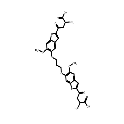 COc1cc2sc(C(=O)CC(C)C(=O)O)cc2cc1OCCCOc1cc2sc(C(=O)CC(C)C(=O)O)cc2nc1OC